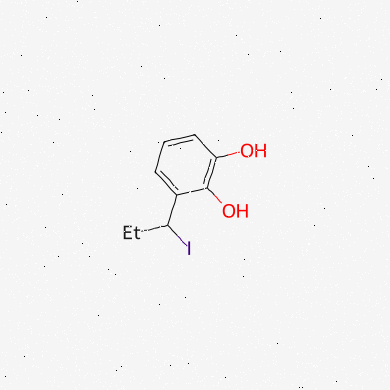 CCC(I)c1cccc(O)c1O